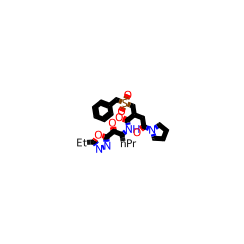 CCCC(NC(=O)C(CC(=O)N1CCCC1)CS(=O)(=O)Cc1ccccc1)C(=O)c1nnc(CC)o1